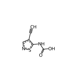 C#Cc1cnsc1NC(=O)O